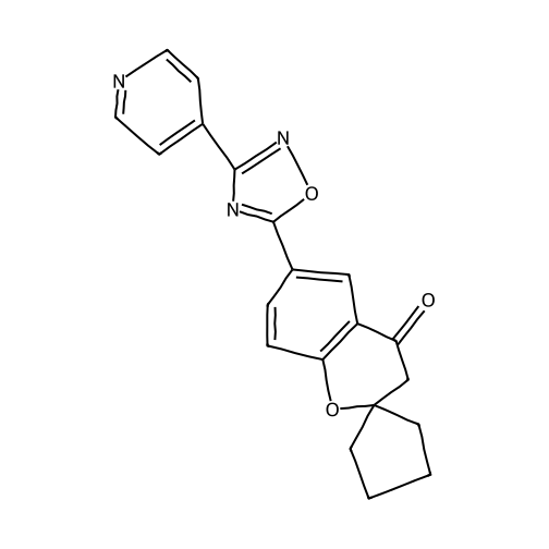 O=C1CC2(CCCC2)Oc2ccc(-c3nc(-c4ccncc4)no3)cc21